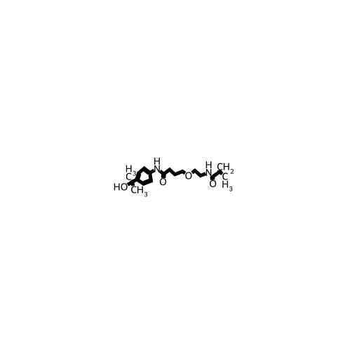 C=C(C)C(=O)NCCOCCCC(=O)Nc1ccc(C(C)(C)O)cc1